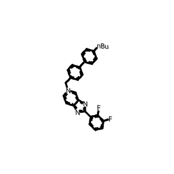 CCCCc1ccc(-c2ccc(Cn3ccc4nc(-c5cccc(F)c5F)nc-4c3)cc2)cc1